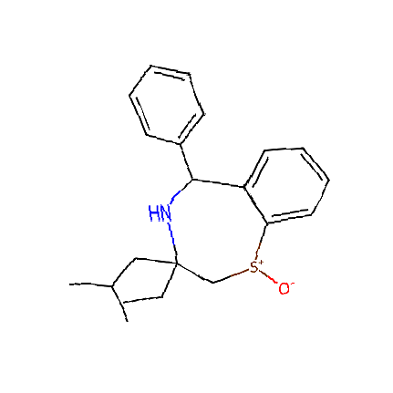 CCC1(CC(C)C)C[S+]([O-])c2ccccc2C(c2ccccc2)N1